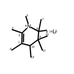 CC1=C(C)N(C)C(C)(C)C(C)(C)C1C.[Li]